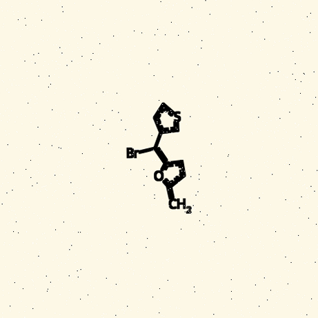 C=c1cc/c(=C(/Br)c2ccsc2)o1